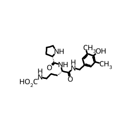 Cc1cc(CNC(=O)[C@H](CCCNC(=O)O)NC(=O)[C@@H]2CCCN2)cc(C)c1O